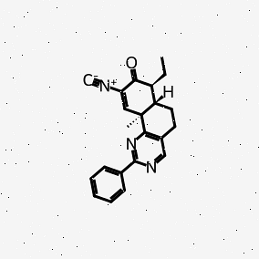 [C-]#[N+]C1=C[C@]2(C)c3nc(-c4ccccc4)ncc3CC[C@H]2[C@H](CC)C1=O